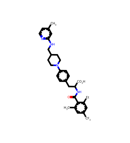 CCc1cc(C(F)(F)F)cc(C)c1C(=O)NC(Cc1ccc(N2CCC(CNc3cc(C)ccn3)CC2)cc1)C(=O)O